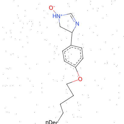 CCCCCCCCCCCCCCOc1ccc(C2C[NH+]([O-])C=N2)cc1